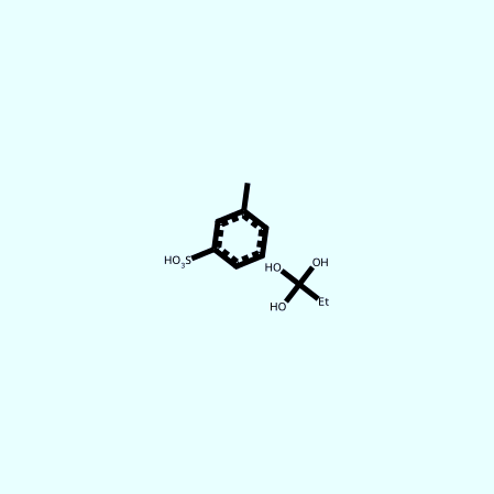 CCC(O)(O)O.Cc1cccc(S(=O)(=O)O)c1